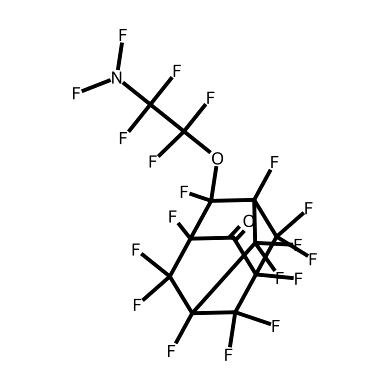 O=C1C2(F)C(F)(F)C3(F)C(F)(F)C1(F)C(F)(OC(F)(F)C(F)(F)N(F)F)C(F)(C2(F)F)C3(F)F